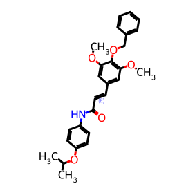 COc1cc(/C=C/C(=O)Nc2ccc(OC(C)C)cc2)cc(OC)c1OCc1ccccc1